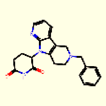 O=C1CCC(n2c3c(c4cccnc42)CN(Cc2ccccc2)CC3)C(=O)N1